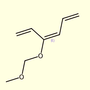 C=C/C=C(\C=C)OCOC